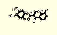 Cc1cccc2c(=O)c(C(=O)Nc3cc(O)c(C(C)(C)C)cc3F)c[nH]c12